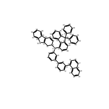 C1=CC(N(c2cccc(-c3cccc(-c4cccc5ccccc45)c3)c2)c2cccc3c2-c2ccccc2C3(c2ccccc2)c2ccccc2)Cc2sc3ccccc3c21